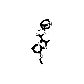 CCOc1cccn2c(C(=O)N[C@@H]3CN4CCC3CC4)c(C)nc12